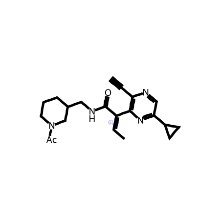 C#Cc1ncc(C2CC2)nc1/C(=C\C)C(=O)NCC1CCCN(C(C)=O)C1